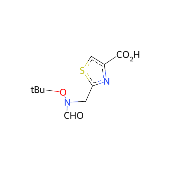 CC(C)(C)ON(C=O)Cc1nc(C(=O)O)cs1